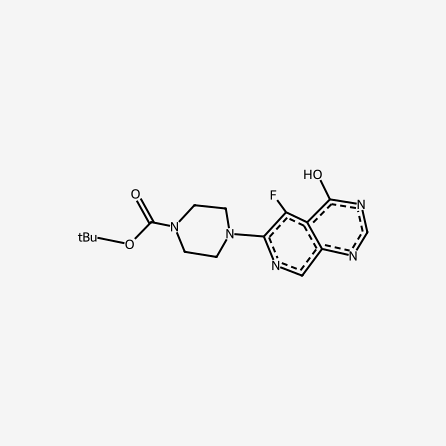 CC(C)(C)OC(=O)N1CCN(c2ncc3ncnc(O)c3c2F)CC1